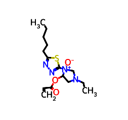 C=CC(=O)OC1CN(CC)C[N+]1([O-])c1nnc(CCCCC)s1